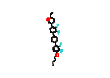 C=CC1CCC(c2ccc(-c3ccc(-c4ccc(OCCCC)c(F)c4F)cc3)c(F)c2F)CO1